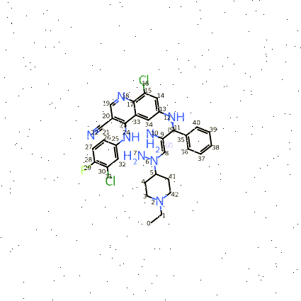 CCN1CCC(N(N)/C=C(\N)[C@@H](Nc2cc(Cl)c3ncc(C#N)c(Nc4ccc(F)c(Cl)c4)c3c2)c2ccccc2)CC1